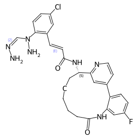 N/N=C\N(N)c1ccc(Cl)cc1/C=C/C(=O)N[C@H]1CCCCCC(=O)Nc2cc(F)ccc2-c2ccnc1c2